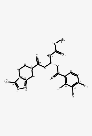 CC(C)(C)OC(=O)N[C@H](CC(=O)c1ccc(F)c(F)c1F)CC(=O)N1CCn2c(nnc2C(F)(F)F)C1